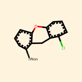 CCCCCCCCCc1cccc2c1Cc1c(Cl)cccc1O2